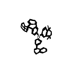 CC1(C)CCC(C)(C)c2cc(N(c3ccc(-c4cccc5ccccc45)cc3)c3ccc4c(c3)-c3ccccc3C43C4CC5CC6CC3C64C5)ccc21